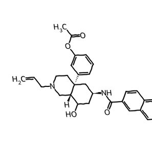 C=CCN1CC[C@@]2(c3cccc(OC(C)=O)c3)C[C@@H](NC(=O)c3ccc4ccccc4c3)CC(O)[C@@H]2C1